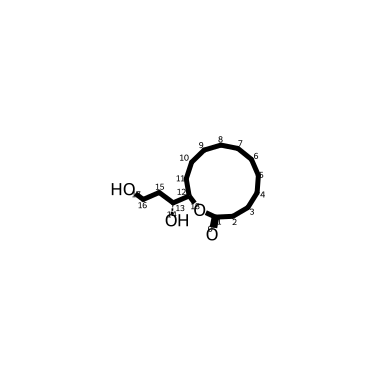 O=C1CCCCCCCCCCC([C@H](O)CCO)O1